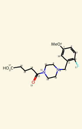 COc1ccc(F)c(CN2CCN(C(=O)CCCC(=O)O)CC2)c1